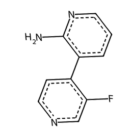 Nc1ncccc1-c1ccncc1F